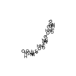 CCn1c(SC(C)C(=O)Nc2ccc(-c3ccc(-c4nnc(SC5(C(=O)Nc6ccccc6)CC5)n4CC)s3)cc2)nnc1-c1ccc(-c2ccc(NC(=O)C3(Sc4nnc(-c5cccs5)n4C(C)=O)CC3)cc2)s1